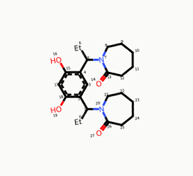 CCC(c1cc(C(CC)N2CCCCCC2=O)c(O)cc1O)N1CCCCCC1=O